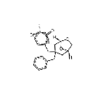 C[C@@H](Br)C(=O)O[C@@H]1[C@@H]2OC[C@H](CC1(Cc1ccccc1)Cc1ccccc1)O2